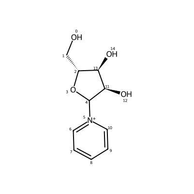 OC[C@H]1OC([n+]2ccccc2)[C@H](O)[C@@H]1O